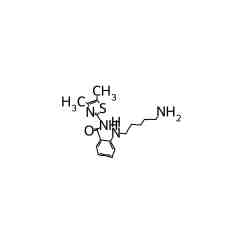 Cc1nc(NC(=O)c2ccccc2NCCCCCN)sc1C